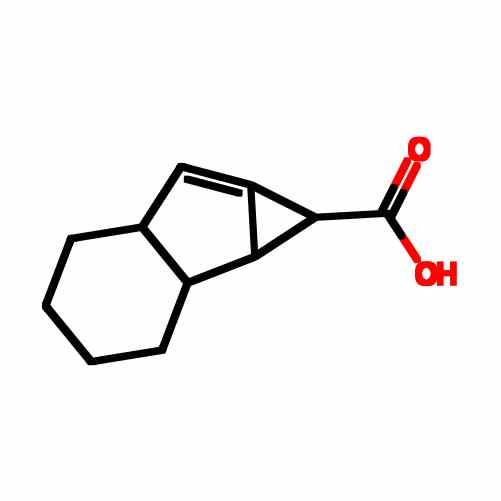 O=C(O)C1C2=CC3CCCCC3C21